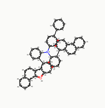 c1ccc(-c2ccc(N(c3ccccc3-c3cccc4c3ccc3ccccc34)c3ccccc3-c3cccc4oc5c6ccccc6ccc5c34)cc2)cc1